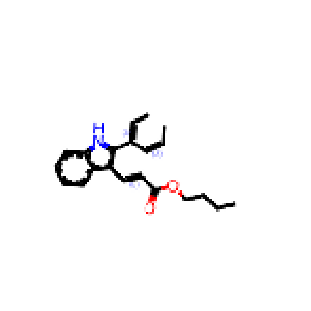 C/C=C\C(=C/C)c1[nH]c2ccccc2c1/C=C/C(=O)OCCCC